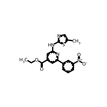 CCOC(=O)c1cc(Nc2ncc(C)s2)nc(-c2cccc([N+](=O)[O-])c2)c1